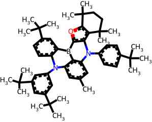 Cc1cc2c3c(c1)N(c1ccc(C(C)(C)C)cc1)c1c(oc4c1C(C)(C)CCC4(C)C)B3c1cc(C(C)(C)C)ccc1N2c1cc(C(C)(C)C)cc(C(C)(C)C)c1